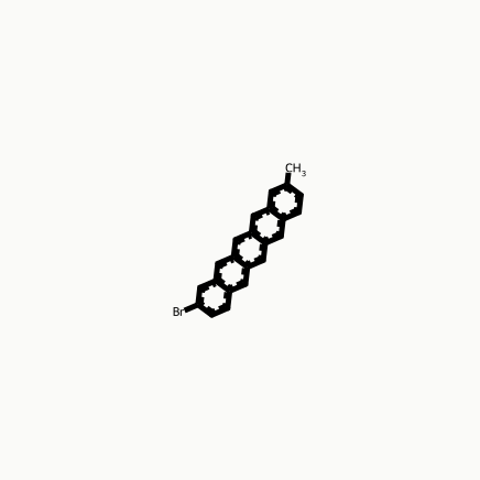 Cc1ccc2cc3cc4cc5ccc(Br)cc5cc4cc3cc2c1